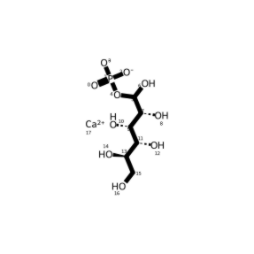 O=P([O-])([O-])OC(O)[C@H](O)[C@@H](O)[C@H](O)[C@H](O)CO.[Ca+2]